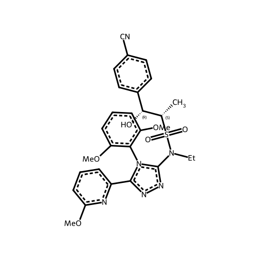 CCN(c1nnc(-c2cccc(OC)n2)n1-c1c(OC)cccc1OC)S(=O)(=O)[C@@H](C)[C@H](O)c1ccc(C#N)cc1